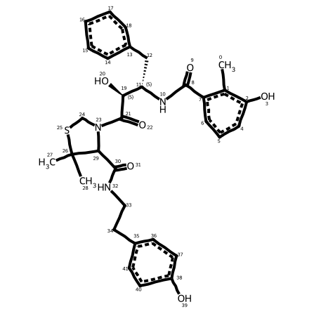 Cc1c(O)cccc1C(=O)N[C@@H](Cc1ccccc1)[C@H](O)C(=O)N1CSC(C)(C)C1C(=O)NCCc1ccc(O)cc1